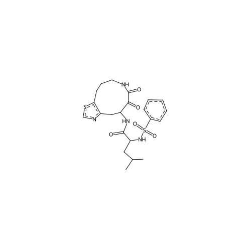 CC(C)CC(NS(=O)(=O)c1ccccc1)C(=O)NC1Cc2ncsc2CCCNC(=O)C1=O